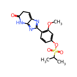 COc1cc(OS(=O)(=O)C(C)C)ccc1C1=NC2=CCC(=O)NC2=N1